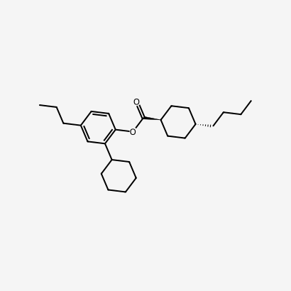 CCCC[C@H]1CC[C@H](C(=O)Oc2ccc(CCC)cc2C2CCCCC2)CC1